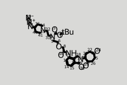 CC(C)(C)OC(=O)N(CCOCC(=O)Nc1cccc2c1CN(C1CCC(=O)CCC1=O)C2=O)CCN1CCC(N=[N+]=[N-])CC1